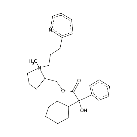 C[N+]1(CCCc2ccccn2)CCCC1COC(=O)C(O)(c1ccccc1)C1CCCCC1